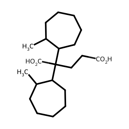 CC1CCCCCC1C(CCC(=O)O)(C(=O)O)C1CCCCCC1C